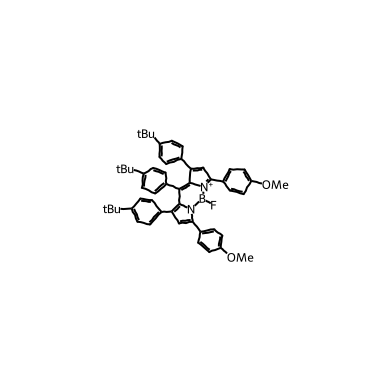 COc1ccc(C2=[N+]3B(F)n4c(-c5ccc(OC)cc5)cc(-c5ccc(C(C)(C)C)cc5)c4C(c4ccc(C(C)(C)C)cc4)=C3C(c3ccc(C(C)(C)C)cc3)=C2)cc1